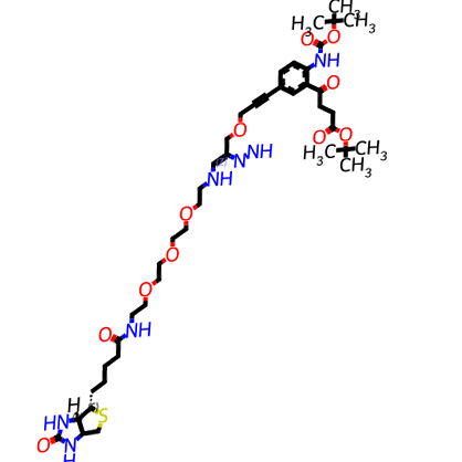 CC(C)(C)OC(=O)CCC(=O)c1cc(C#CCOC/C(=C/NCCOCCOCCOCCNC(=O)CCCC[C@@H]2SCC3NC(=O)N[C@@H]32)N=N)ccc1NC(=O)OC(C)(C)C